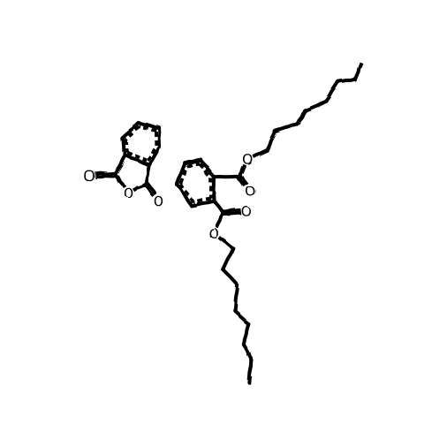 CCCCCCCCOC(=O)c1ccccc1C(=O)OCCCCCCCC.O=C1OC(=O)c2ccccc21